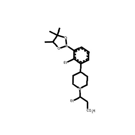 CCc1c(B2OC(C)C(C)(C)O2)cccc1C1CCN(C(CC)CC(=O)O)CC1